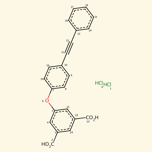 Cl.Cl.O=C(O)c1cc(Oc2ccc(C#Cc3ccccc3)cc2)cc(C(=O)O)c1